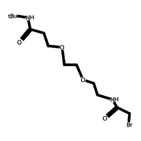 CC(C)(C)NC(=O)CCOCCOCCNC(=O)CBr